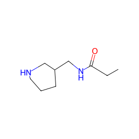 CCC(=O)NCC1CCCNC1